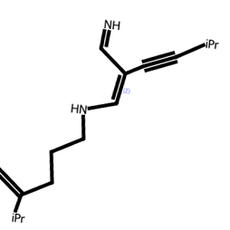 CC(C)C#C/C(C=N)=C/NCCCC(=O)C(C)C